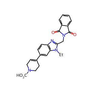 CCn1c(CN2C(=O)c3ccccc3C2=O)nc2ccc(C3=CCN(C(=O)O)CC3)cc21